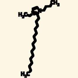 CCCCCCCCCCCCCCCCc1n(CCCC)cc[n+]1CC